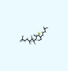 CCC(CCCC(C)C)C(S)C(C)CC(C)C(C)C(C)CCC(C)C